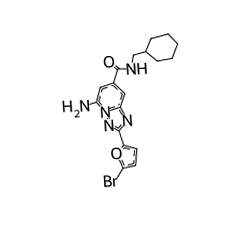 Nc1cc(C(=O)NCC2CCCCC2)cc2nc(-c3ccc(Br)o3)nn12